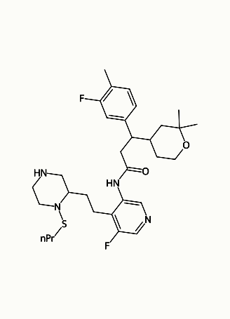 CCCSN1CCNCC1CCc1c(F)cncc1NC(=O)CC(c1ccc(C)c(F)c1)C1CCOC(C)(C)C1